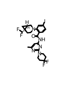 Cc1cc(NC(=O)c2ccc(I)cc2N2CC[C@@]3(C(F)F)C[C@H]3C2)nc(N2CCC(F)(F)CC2)n1